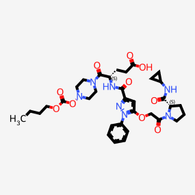 CCCCOC(=O)ON1CCN(C(=O)[C@H](CCC(=O)O)NC(=O)c2cc(OCC(=O)N3CCC[C@H]3C(=O)NC3CC3)n(-c3ccccc3)n2)CC1